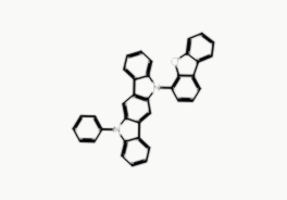 c1ccc(-n2c3ccccc3c3cc4c(cc32)c2ccccc2n4-c2cccc3c2oc2ccccc23)cc1